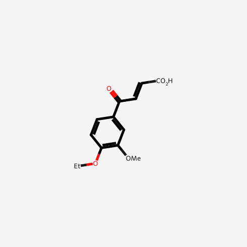 CCOc1ccc(C(=O)C=CC(=O)O)cc1OC